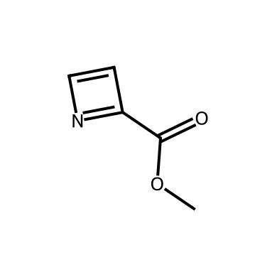 COC(=O)C1=NC=C1